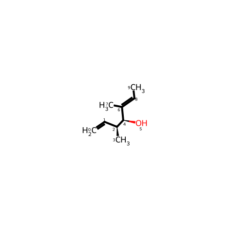 C=C[C@H](C)[C@H](O)/C(C)=C/C